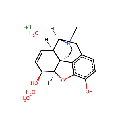 CN1CC[C@]23c4c5ccc(O)c4O[C@H]2[C@@H](O)C=C[C@H]3[C@H]1C5.Cl.O.O.O